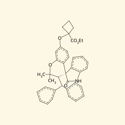 CCOC(=O)C1(Oc2ccc3c(c2)OC(C)(C)C(C(c2ccccc2)c2ccccc2)[C@]32C(=O)Nc3ccccc32)CCC1